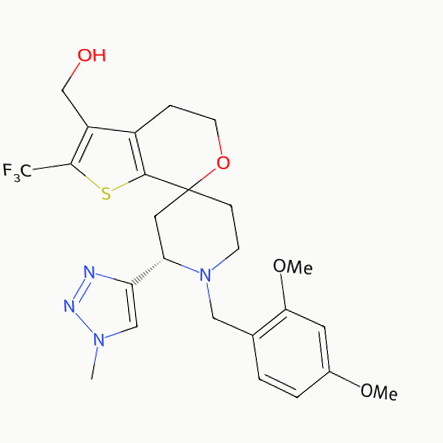 COc1ccc(CN2CCC3(C[C@H]2c2cn(C)nn2)OCCc2c3sc(C(F)(F)F)c2CO)c(OC)c1